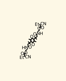 CCC(C#N)C(=O)OCCNC(=O)CC(C)(C)C1=C(C)C(=O)C(C(C)(C)CC(=O)NCCOC(=O)C(C#N)CC)=C(C)C1=O